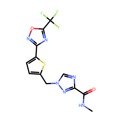 CNC(=O)c1ncn(Cc2ccc(-c3noc(C(F)(F)F)n3)s2)n1